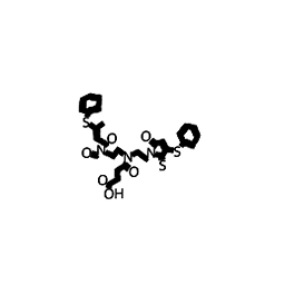 C/C(=C\C(=O)N(C=O)CCN(CCN1C(=O)C=C(Sc2ccccc2)C1=S)C(=O)CCC(=O)O)Sc1ccccc1